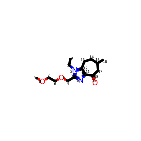 CCn1c(COCCOC)nc2c1CCC(C)CC2=O